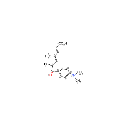 CC(/C=C/C(=O)O)=C\[C@H](C)C(=O)c1ccc(N(C)C)cc1